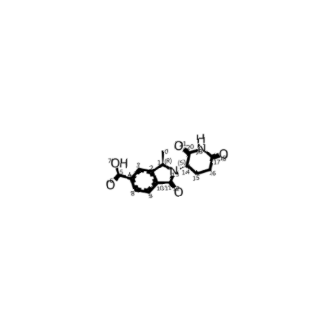 C[C@@H]1c2cc(C(=O)O)ccc2C(=O)N1[C@H]1CCC(=O)NC1=O